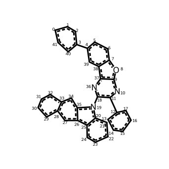 c1ccc(-c2ccc3oc4nc(-c5ccccc5)c(-n5c6ccccc6c6cc7ccccc7cc65)nc4c3c2)cc1